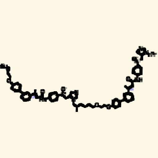 CCCCOCCOc1ccc(-c2cccc(/C(C)=C/C(=O)Nc3ccc([S+]([O-])Cc4cncn4CC(C)CCCCOCCOc4ccc(-c5cccc(/C(C)=C/C(=O)Nc6ccc([S@+]([O-])Cc7cncn7CCC)cc6)c5)cc4)cc3)c2)cc1